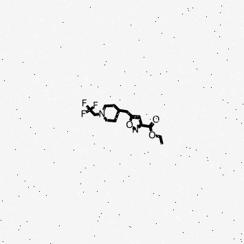 CCOC(=O)c1cc(CC2CCN(CC(F)(F)F)CC2)on1